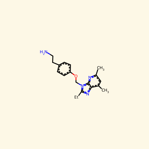 CCc1nc2c(C)cc(C)nc2n1COc1ccc(CCN)cc1